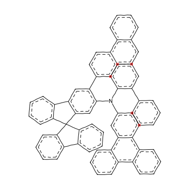 c1ccc(-c2ccccc2N(c2ccc3c4ccccc4c4ccccc4c3c2)c2cc3c(cc2-c2ccc4c(ccc5ccccc54)c2)-c2ccccc2C32c3ccccc3-c3ccccc32)cc1